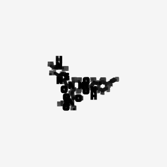 C#Cc1ccc2[nH]c(S(=O)(=O)N3CCN(C(=O)c4nc5c(s4)CNC(C)C5)C(CC(=O)N(C)S(C)(=O)=O)C3)cc2c1